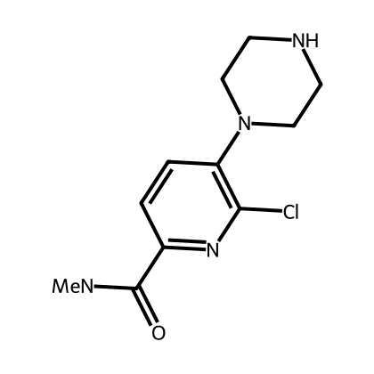 CNC(=O)c1ccc(N2CCNCC2)c(Cl)n1